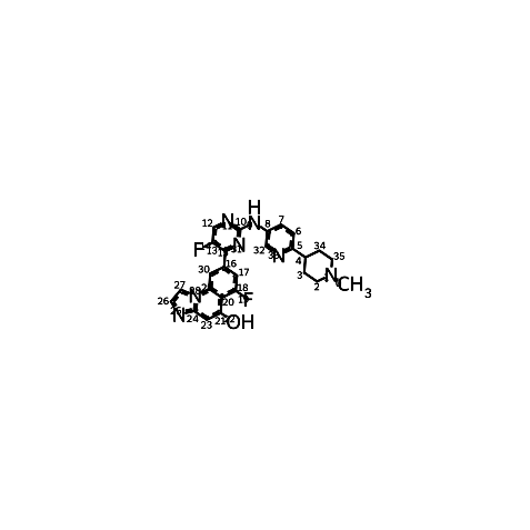 CN1CCC(c2ccc(Nc3ncc(F)c(-c4cc(F)c5c(O)cc6nccn6c5c4)n3)cn2)CC1